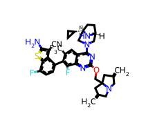 C=C1CN2CC(=C)CC2(COc2nc(N3C[C@@H]4CC[C@](C5CC5)(C3)N4)c3cc(C(F)(F)F)c(-c4ccc(F)c5sc(N)c(C#N)c45)c(F)c3n2)C1